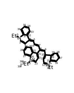 CCN1C=CC(=CC=CC(=Cc2cc[n+](CC)c3ccccc23)c2cc[n+](CC)c3ccccc23)c2ccccc21.[I-].[I-]